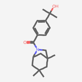 CC1(C)CC2CC(C)(CN2C(=O)c2ccc(C(C)(C)O)cc2)C1